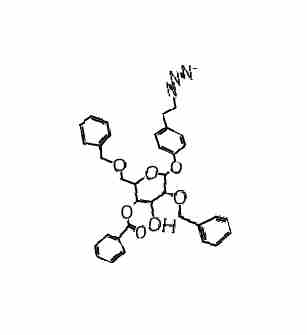 [N-]=[N+]=NCCc1ccc(O[C@@H]2OC(COCc3ccccc3)[C@H](OC(=O)c3ccccc3)C(O)[C@@H]2OCc2ccccc2)cc1